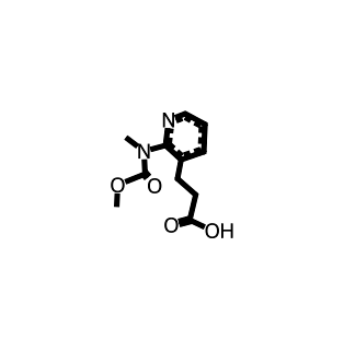 COC(=O)N(C)c1ncccc1CCC(=O)O